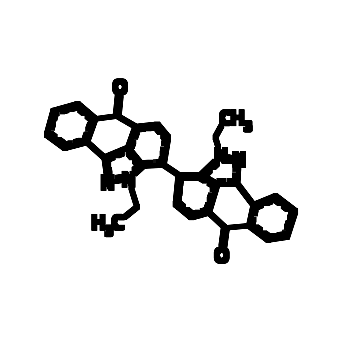 CCn1nc2c3c(ccc(-c4ccc5c6c(nn(CC)c46)-c4ccccc4C5=O)c31)C(=O)c1ccccc1-2